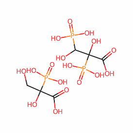 O=C(O)C(O)(C(O)P(=O)(O)O)P(=O)(O)O.O=C(O)C(O)(CO)P(=O)(O)O